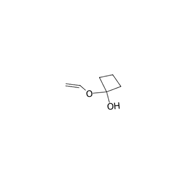 C=COC1(O)CCC1